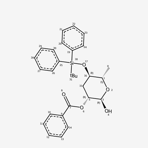 C[C@@H]1O[C@@H](O)[C@H](OC(=O)c2ccccc2)C[C@H]1O[Si](c1ccccc1)(c1ccccc1)C(C)(C)C